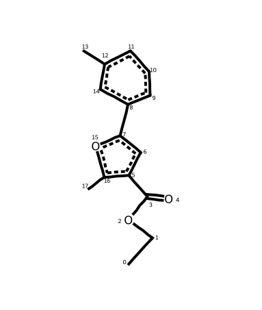 CCOC(=O)c1cc(-c2cccc(C)c2)oc1C